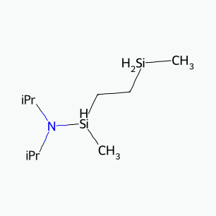 C[SiH2]CC[SiH](C)N(C(C)C)C(C)C